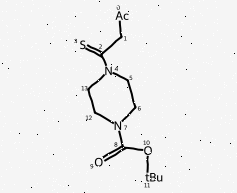 CC(=O)CC(=S)N1CCN(C(=O)OC(C)(C)C)CC1